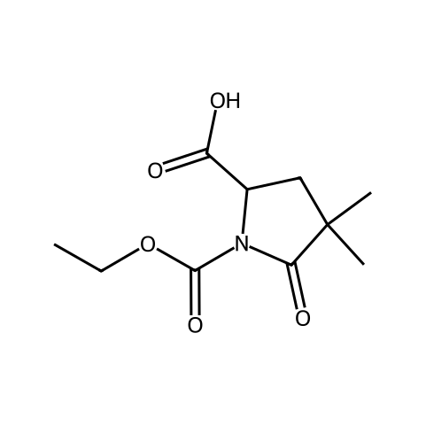 CCOC(=O)N1C(=O)C(C)(C)CC1C(=O)O